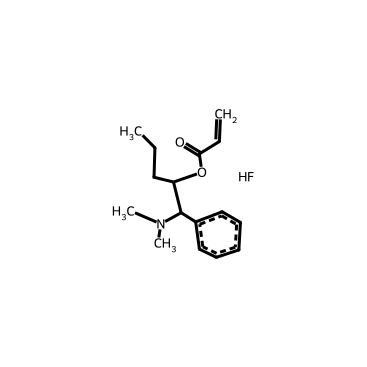 C=CC(=O)OC(CCC)C(c1ccccc1)N(C)C.F